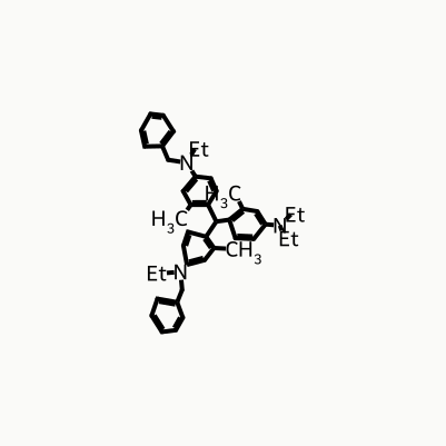 CCN(CC)c1ccc(C(c2ccc(N(CC)Cc3ccccc3)cc2C)c2ccc(N(CC)Cc3ccccc3)cc2C)c(C)c1